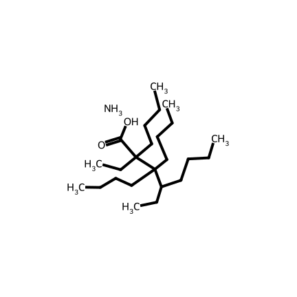 CCCCC(CC)C(CCCC)(CCCC)C(CC)(CCCC)C(=O)O.N